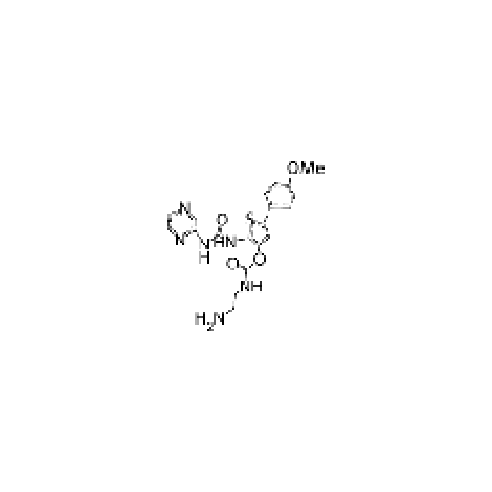 COc1ccc(-c2cc(OC(=O)NCCN)c(NC(=O)Nc3cnccn3)s2)cc1